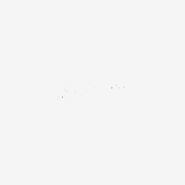 [CH2]CCCCCCCCCCCCCCCCCC(C[CH2])CC